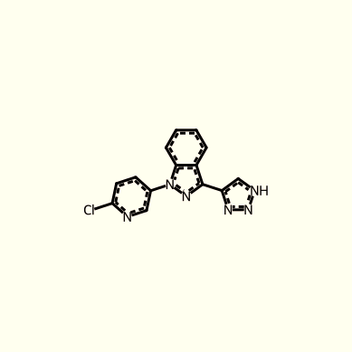 Clc1ccc(-n2nc(-c3c[nH]nn3)c3ccccc32)cn1